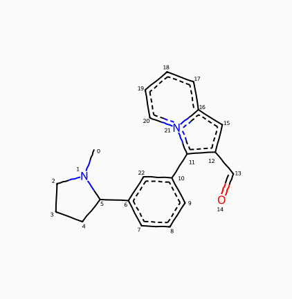 CN1CCCC1c1cccc(-c2c(C=O)cc3ccccn23)c1